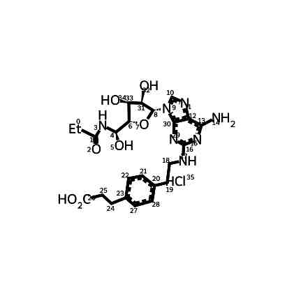 CCC(=O)N[C@H](O)[C@H]1O[C@@H](n2cnc3c(N)nc(NCCc4ccc(CCC(=O)O)cc4)nc32)[C@H](O)[C@@H]1O.Cl